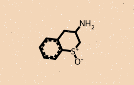 NC1Cc2ccccc2[S+]([O-])C1